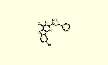 N[C@@H](CCc1ccccc1)c1nc2c(oc3ccc(Br)cc32)c(=O)[nH]1